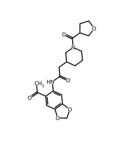 CC(=O)c1cc2c(cc1NC(=O)CC1CCCN(C(=O)C3CCOC3)C1)OCO2